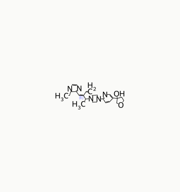 C=C/C(=C\c1nccnc1CC)C(C)N1CCN(c2ccc(C3(O)CCOC3)cn2)CC1